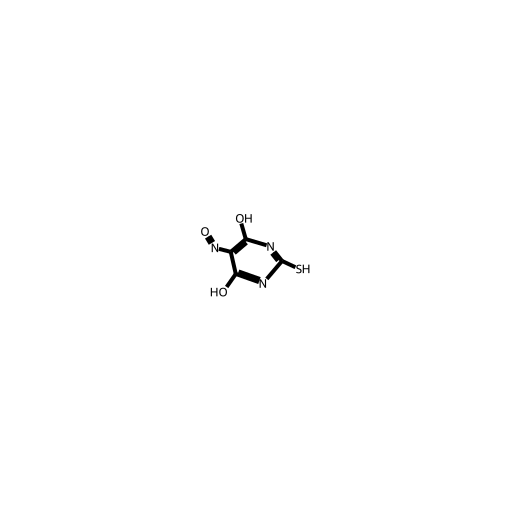 O=Nc1c(O)nc(S)nc1O